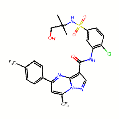 CC(C)(CO)NS(=O)(=O)c1ccc(Cl)c(NC(=O)c2cnn3c(C(F)(F)F)cc(-c4ccc(C(F)(F)F)cc4)nc23)c1